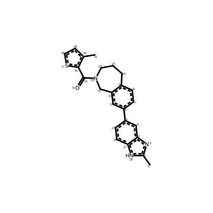 Cc1nc2cc(-c3ccc4c(c3)CN(C(=O)c3sccc3C)CCC4)ccc2[nH]1